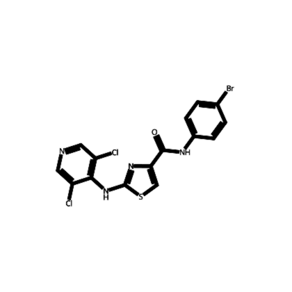 O=C(Nc1ccc(Br)cc1)c1csc(Nc2c(Cl)cncc2Cl)n1